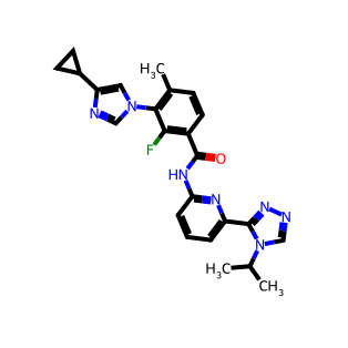 Cc1ccc(C(=O)Nc2cccc(-c3nncn3C(C)C)n2)c(F)c1-n1cnc(C2CC2)c1